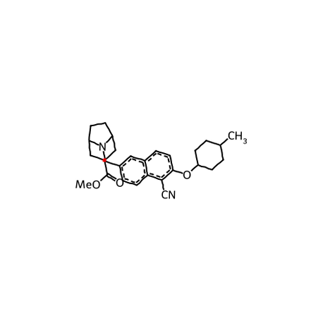 COC(=O)C1CC2CCC(C1)N2Cc1ccc2c(C#N)c(OC3CCC(C)CC3)ccc2c1